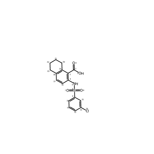 O=C(O)c1c(NS(=O)(=O)c2cccc(Cl)c2)ccc2c1CCCC2